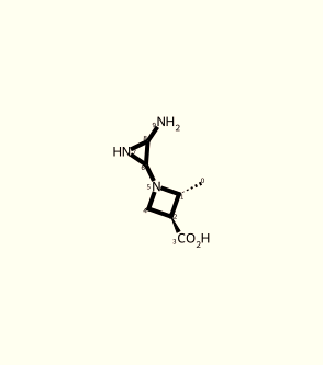 C[C@@H]1[C@@H](C(=O)O)CN1C1NC1N